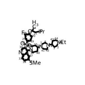 CCN1CCC(N2CCN(C3CCN(c4c(S(=O)(=O)c5ccc(OC(C)CC(C)C)c(F)c5)cnc5ccc(SC)cc45)CC3)CC2)CC1